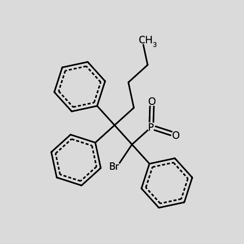 CCCCC(c1ccccc1)(c1ccccc1)C(Br)(c1ccccc1)P(=O)=O